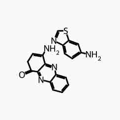 NC1=CCC(=O)c2nc3ccccc3nc21.Nc1ccc2ncsc2c1